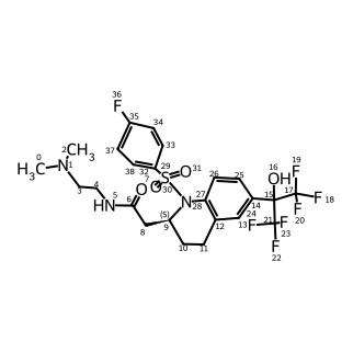 CN(C)CCNC(=O)C[C@@H]1CCc2cc(C(O)(C(F)(F)F)C(F)(F)F)ccc2N1S(=O)(=O)c1ccc(F)cc1